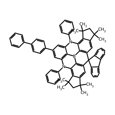 CC1(C)CC(C)(C)c2c1cc1c3c2N(c2ccccc2)c2cc(-c4ccc(-c5ccccc5)cc4)cc4c2B3c2c(cc3c(c2N4c2ccccc2)C(C)(C)CC3(C)C)C12c1ccccc1-c1ccccc12